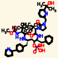 COC(=O)N[C@H](C(=O)N[C@@H](Cc1ccc(-c2ccccn2)cc1)C[C@H](OP(=O)(O)O)[C@H](Cc1ccccc1)NC(=O)[C@@H](N1CCN(Cc2cccc(C(C)(C)O)n2)C1=O)C(C)(C)C)C(C)(C)C